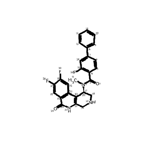 CN(C(=O)c1ccc(-c2ccccc2)cc1F)[C@H]1CNCc2[nH]c(=O)c3cc(F)c(F)cc3c21